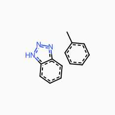 Cc1ccccc1.c1ccc2[nH]nnc2c1